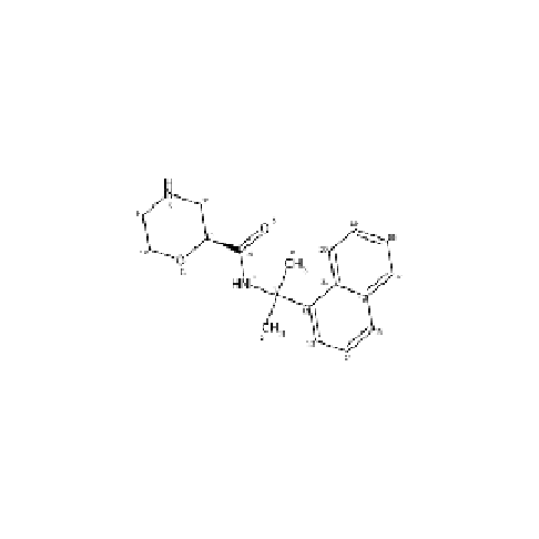 CC(C)(NC(=O)[C@@H]1CNCCO1)c1cccc2ccccc12